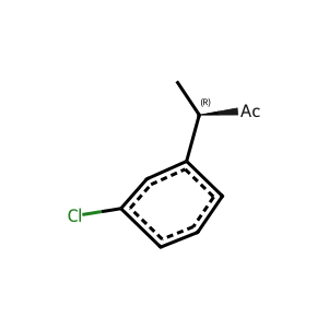 CC(=O)[C@H](C)c1cccc(Cl)c1